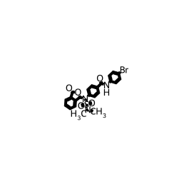 CN(C)S(=O)(=O)N(c1ccc(C(=O)Nc2ccc(Br)cc2)cc1)C1OC(=O)c2ccccc21